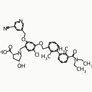 CCN(CC)C(=O)c1cccc(-c2cccc(COc3cc(OCc4cncc(C#N)c4)c(CN4C[C@H](O)C[C@H]4C(=O)O)cc3Cl)c2C)c1C